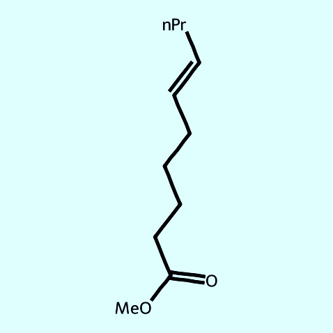 CCCC=CCCCCC(=O)OC